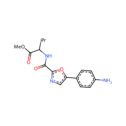 COC(=O)C(NC(=O)c1ncc(-c2ccc(N)cc2)o1)C(C)C